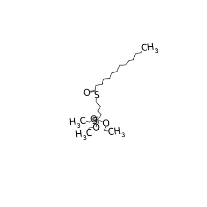 CCCCCCCCCCCCCC(=O)SCCCC[Si](OCC)(OCC)OCC